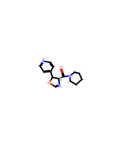 O=C([C@H]1N=COC1c1ccncc1)N1CCCCC1